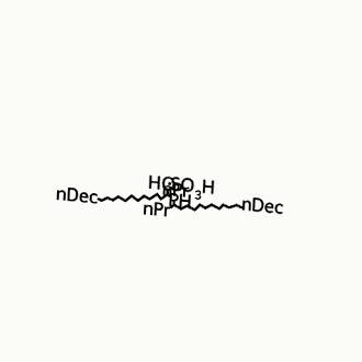 CCCCCCCCCCCCCCCCCCCCCC(CCC)PC(CCC)CCCCCCCCCCCCCCCCCCCCC.O=S(=O)(O)O